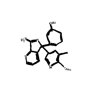 COc1ncc(C2(c3cccc(OCC(C)C)c3)N=C(N)c3ncccc32)cc1C